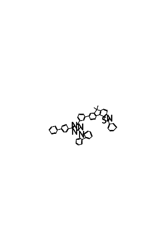 CC1(C)c2cc(-c3cccc(-c4nc(-c5ccc(-c6ccccc6)cc5)nc(-n5c6ccccc6c6ccccc65)n4)c3)ccc2-c2c1ccc1nc(-c3ccccc3)sc21